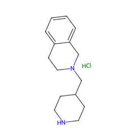 Cl.c1ccc2c(c1)CCN(CC1CCNCC1)C2